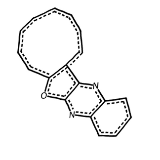 c1ccccc2c(ccc1)oc1nc3ccccc3nc12